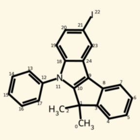 CC1(C)c2ccccc2-c2c1n(-c1ccccc1)c1ccc(I)cc21